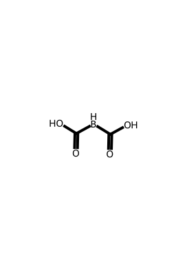 O=C(O)BC(=O)O